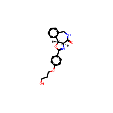 O=C1NCc2ccccc2[C@H]2OC(c3ccc(OCCCO)cc3)=N[C@H]12